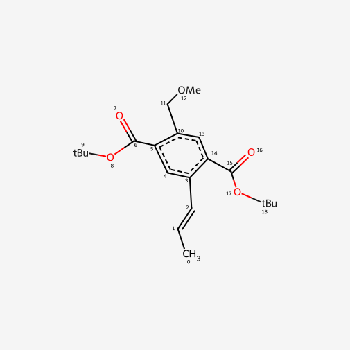 CC=Cc1cc(C(=O)OC(C)(C)C)c(COC)cc1C(=O)OC(C)(C)C